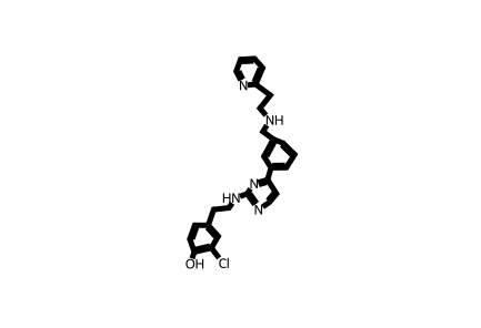 Oc1ccc(CCNc2nccc(-c3cccc(CNCCc4ccccn4)c3)n2)cc1Cl